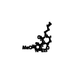 C=CCCN1CCC(OCC)N(c2nnc(OC)s2)C1=O